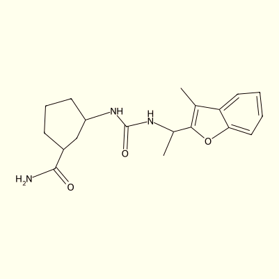 Cc1c(C(C)NC(=O)NC2CCCC(C(N)=O)C2)oc2ccccc12